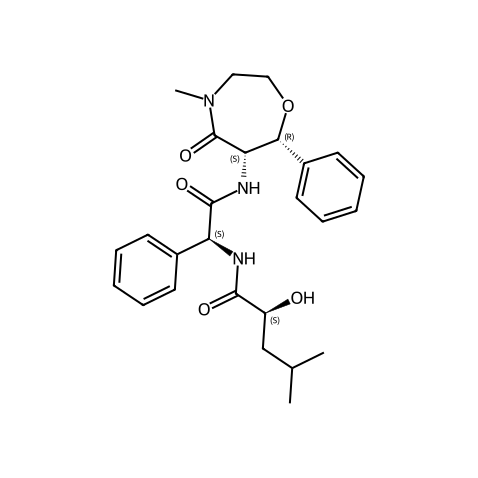 CC(C)C[C@H](O)C(=O)N[C@H](C(=O)N[C@@H]1C(=O)N(C)CCO[C@@H]1c1ccccc1)c1ccccc1